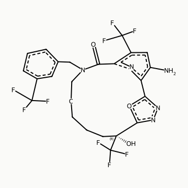 Nc1cc(C(F)(F)F)c2nc1-c1nnc(o1)[C@@](O)(C(F)(F)F)CCCCCN(Cc1cccc(C(F)(F)F)c1)C2=O